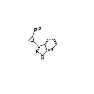 O=CC1CC1c1n[nH]c2ncccc12